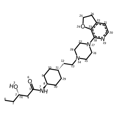 CC[C@H](O)CC(=O)N[C@H]1CC[C@H](CCN2CCN(c3nccc4c3OCC4)CC2)CC1